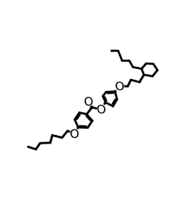 CCCCCCCOc1ccc(C(=O)Oc2ccc(OCCCC3CCCCC3CCCCC)cc2)cc1